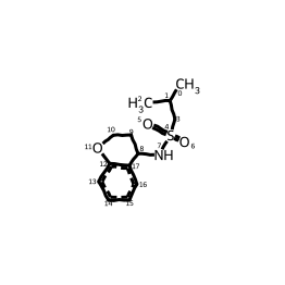 CC(C)CS(=O)(=O)NC1CCOc2ccccc21